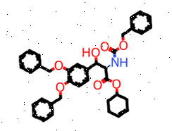 O=C(N[C@H](C(=O)OC1CC=CCC1)C(O)c1ccc(OCc2ccccc2)c(OCc2ccccc2)c1)OCc1ccccc1